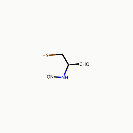 O=[C][C@H](CS)NN=O